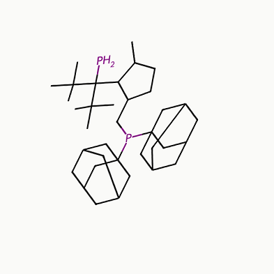 CC1CCC(CP(C23CC4CC(CC(C4)C2)C3)C23CC4CC(CC(C4)C2)C3)C1C(P)(C(C)(C)C)C(C)(C)C